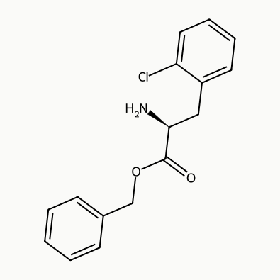 N[C@@H](Cc1ccccc1Cl)C(=O)OCc1ccccc1